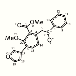 COC(=O)c1c(C[S+]([O-])c2ccccc2)ccc(-c2ccoc2)c1OC